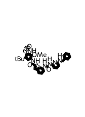 COc1c(NC(=O)c2cc3cccc(NC(=O)Nc4cccc(NCc5ccccc5)n4)c3s2)cc(C(C)(C)C)cc1NS(C)(=O)=O